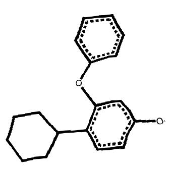 [O]c1ccc(C2CCCCC2)c(Oc2ccccc2)c1